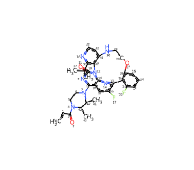 C=CC(=O)N1CCN(c2nc(=O)n3c4nc(c(F)cc24)-c2c(F)cccc2OCCNc2ccnc(C(C)C)c2-3)[C@@H](C)[C@H]1C